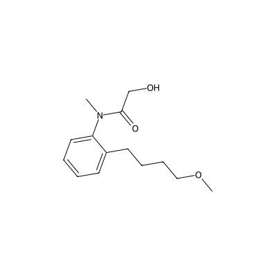 COCCCCc1ccccc1N(C)C(=O)CO